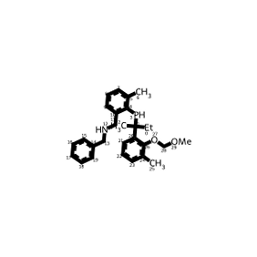 CCC(C)(Pc1c(C)cccc1CNCc1ccccc1)c1cccc(C)c1OCOC